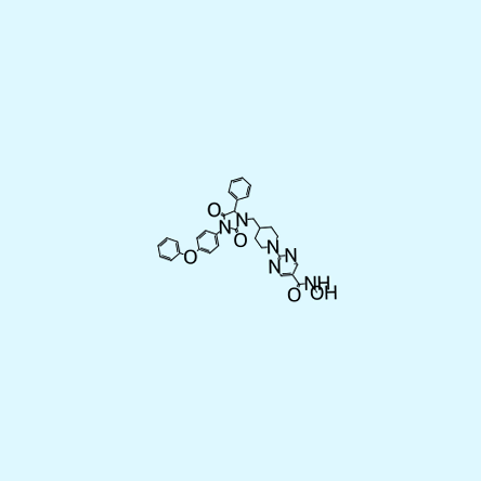 O=C(NO)c1cnc(N2CCC(CN3C(=O)N(c4ccc(Oc5ccccc5)cc4)C(=O)C3c3ccccc3)CC2)nc1